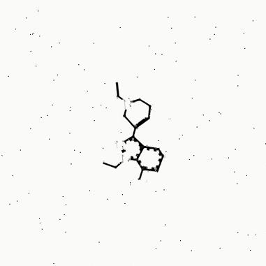 CCN1CCC=C(c2nn(CC)c3c(Cl)cccc23)C1